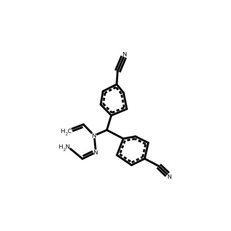 C=CN(/N=C\N)C(c1ccc(C#N)cc1)c1ccc(C#N)cc1